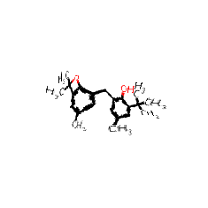 Cc1cc(Cc2cc(C)cc3c2OC3(C)C)c(O)c(C(C)(C)C)c1